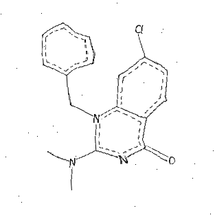 CN(C)c1nc(=O)c2ccc(Cl)cc2n1Cc1ccccc1